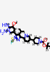 COc1cc(-c2c(C(C)C)c(-c3ccc(C4CCN(C(=O)OC(C)(C)C)CC4)cn3)nn2SF)cn(N)c1=N